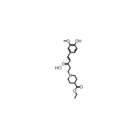 CCOC(=O)C1CCN(CCC(=O)C=Cc2ccc(O)c(OC)c2)CC1.Cl